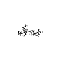 O=C(O)c1ccnc(N2C3CCC2CC2(CC(NCc4c(-c5ccccc5OC(F)(F)F)noc4C4CC4)C2)C3)c1